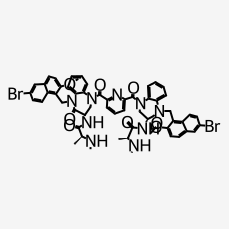 CN[C@@H](C)C(=O)N[C@H]1CN(C(=O)c2cccc(C(=O)N3C[C@H](NC(=O)[C@H](C)NC)C(=O)N(Cc4c(OC)ccc5cc(Br)ccc45)c4ccccc43)n2)c2ccccc2N(Cc2c(OC)ccc3cc(Br)ccc23)C1=O